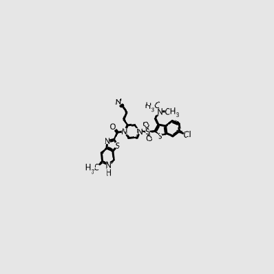 CC1Cc2nc(C(=O)N3CCN(S(=O)(=O)c4sc5cc(Cl)ccc5c4CN(C)C)CC3CCC#N)sc2CN1